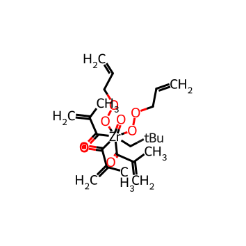 C=CCO[O][Zr](=[O])([CH2]C(C)(C)C)([O]OCC=C)([C](=O)C(=C)C)([C](=O)C(=C)C)[C](=O)C(=C)C